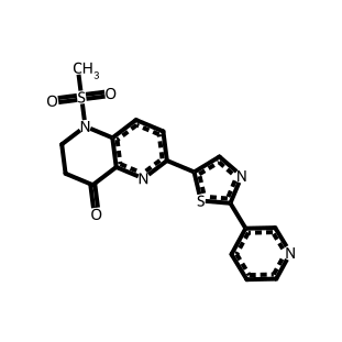 CS(=O)(=O)N1CCC(=O)c2nc(-c3cnc(-c4cccnc4)s3)ccc21